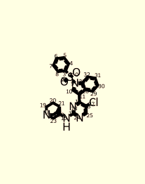 O=S(=O)(c1ccccc1)n1cc(-c2nc(NC3CN4CCC3CC4)ncc2Cl)c2ccccc21